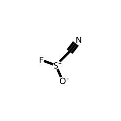 N#C[S+]([O-])F